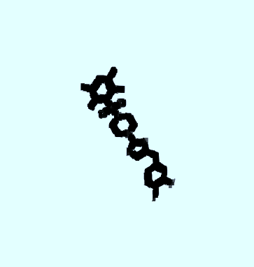 Cc1cc(C)c(C)c(S(=O)(=O)N2CCN(c3nc(Cc4ccc(F)c(F)c4)cs3)CC2)c1C